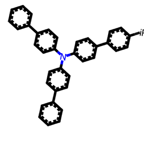 CC(C)c1ccc(-c2ccc(N(c3ccc(-c4ccccc4)cc3)c3ccc(-c4ccccc4)cc3)cc2)cc1